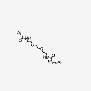 CCCNC(=O)NCCOCCOCCNC(=O)C(C)C